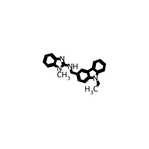 CCn1c2ccccc2c2cc(CNc3nc4ccccc4n3C)ccc21